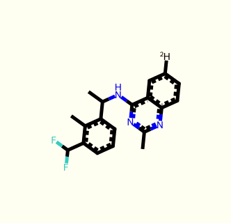 [2H]c1ccc2nc(C)nc(NC(C)c3cccc(C(F)F)c3C)c2c1